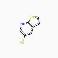 Sc1cnc2sccc2c1